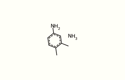 Cc1ccc(N)cc1C.N